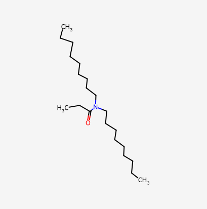 CCCCCCCCCN(CCCCCCCCC)C(=O)CC